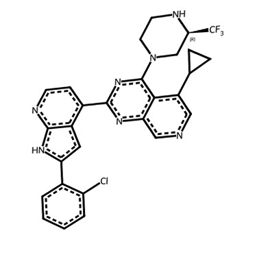 FC(F)(F)[C@H]1CN(c2nc(-c3ccnc4[nH]c(-c5ccccc5Cl)cc34)nc3cncc(C4CC4)c23)CCN1